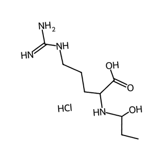 CCC(O)NC(CCCNC(=N)N)C(=O)O.Cl